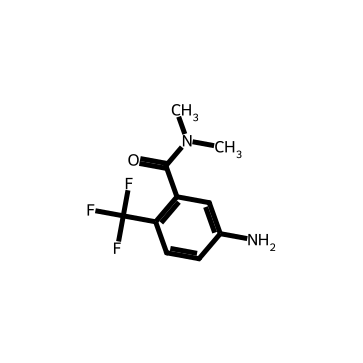 CN(C)C(=O)c1cc(N)ccc1C(F)(F)F